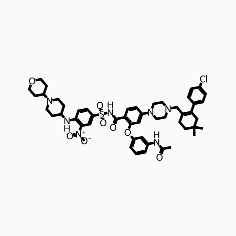 CC(=O)Nc1cccc(Oc2cc(N3CCN(CC4=C(c5ccc(Cl)cc5)CC(C)(C)CC4)CC3)ccc2C(=O)NS(=O)(=O)c2ccc(NC3CCN(C4CCOCC4)CC3)c([N+](=O)[O-])c2)c1